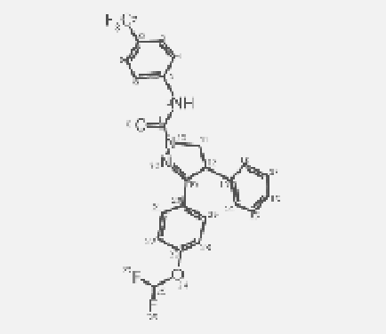 O=C(Nc1ccc(C(F)(F)F)cc1)N1CC(c2ccccc2)C(c2ccc(OC(F)F)cc2)=N1